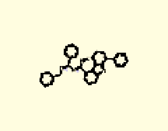 C=N/C(=N\C(=N/Cc1ccccc1)c1ccccc1)c1cccc2oc3c(-c4ccccc4)cccc3c12